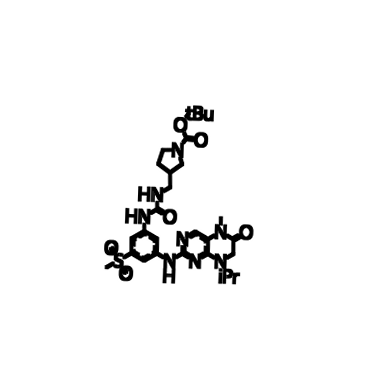 CC(C)N1CC(=O)N(C)c2cnc(Nc3cc(NC(=O)NCC4CCN(C(=O)OC(C)(C)C)C4)cc(S(C)(=O)=O)c3)nc21